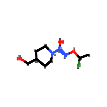 CC(Cl)O/N=[N+](\O)N1CCC(CO)CC1